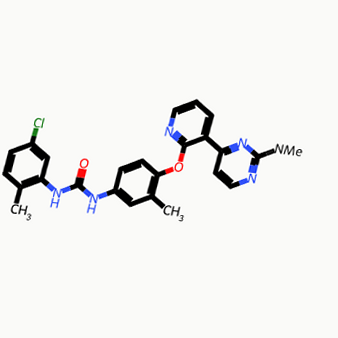 CNc1nccc(-c2cccnc2Oc2ccc(NC(=O)Nc3cc(Cl)ccc3C)cc2C)n1